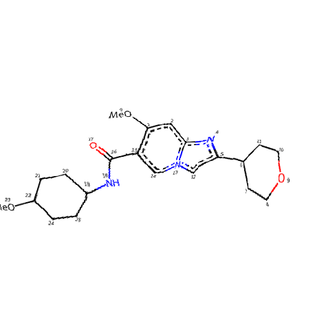 COc1cc2nc(C3CCOCC3)cn2cc1C(=O)NC1CCC(OC)CC1